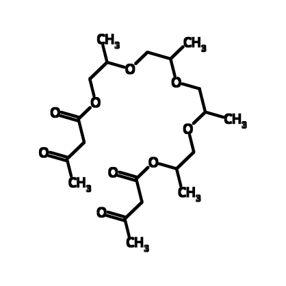 CC(=O)CC(=O)OCC(C)OCC(C)OCC(C)OCC(C)OC(=O)CC(C)=O